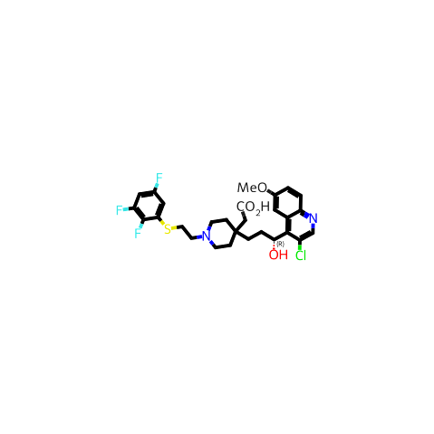 COc1ccc2ncc(Cl)c([C@H](O)CCC3(CC(=O)O)CCN(CCSc4cc(F)cc(F)c4F)CC3)c2c1